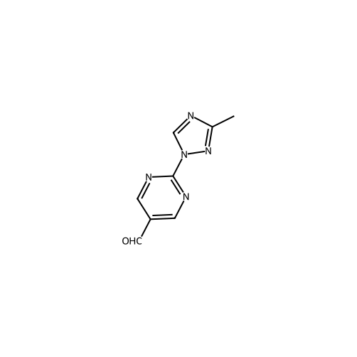 Cc1ncn(-c2ncc(C=O)cn2)n1